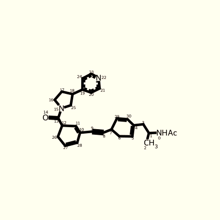 CC(=O)NC(C)CC1=CCC(C#CC2=CC(C(=O)N3CCC(c4ccncc4)C3)CC=C2)C=C1